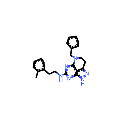 Cc1ccccc1CCNc1nc2c3c(n[nH]c3n1)CCN2Cc1ccccc1